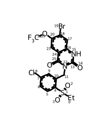 CCS(=O)(=O)c1ccc(Cl)cc1Cn1c(=O)[nH]c2cc(Br)c(OC(F)(F)F)cc2c1=O